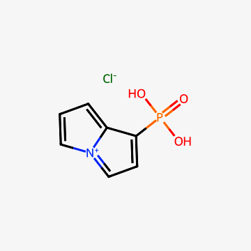 O=P(O)(O)C1=CC=[N+]2C=CC=C12.[Cl-]